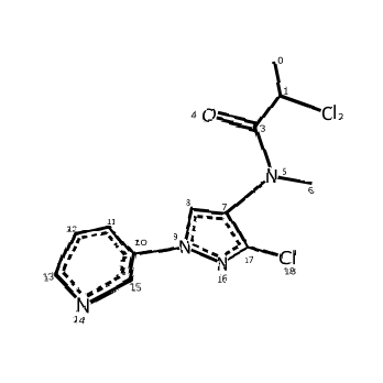 CC(Cl)C(=O)N(C)c1cn(-c2cccnc2)nc1Cl